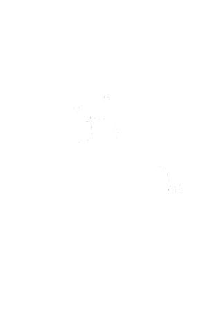 CCCCC=C[Si]1(C)CCCCO1